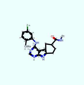 CCNC(=O)C1CCc2[nH]c3ncnc(Nc4cc(F)ccc4OC)c3c2C1